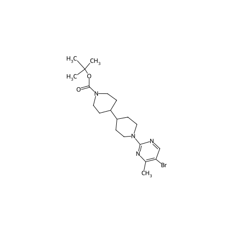 Cc1nc(N2CCC(C3CCN(C(=O)OC(C)(C)C)CC3)CC2)ncc1Br